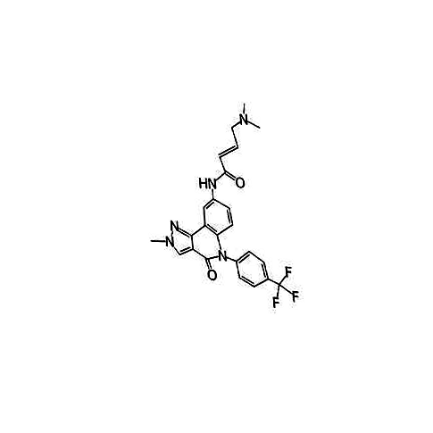 CN(C)C/C=C/C(=O)Nc1ccc2c(c1)c1nn(C)cc1c(=O)n2-c1ccc(C(F)(F)F)cc1